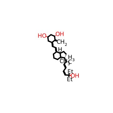 C=C1/C(=C\C=C2/CCC[C@]3(C)[C@@H]([C@H](C)/C=C/C=C\C(O)(CC)CC)CC[C@@H]23)C[C@@H](O)C[C@@H]1O